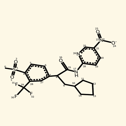 CS(=O)(=O)c1ccc(C(CC2CCCC2)C(=O)Nc2ccc([N+](=O)[O-])cn2)cc1C(F)(F)F